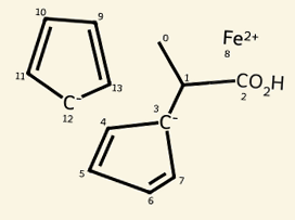 CC(C(=O)O)[c-]1cccc1.[Fe+2].c1cc[cH-]c1